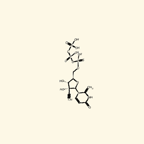 C#C[C@]1(O)C(N2C=CC(=O)NC2=C)O[C@H](CO[P@@](O)(=S)OP(=O)(O)OP(=O)(O)O)[C@H]1O